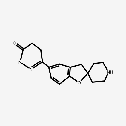 O=C1CCC(c2ccc3c(c2)CC2(CCNCC2)O3)=NN1